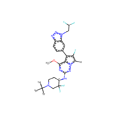 [2H]c1c(F)c(-c2ccc3nnn(CC(F)F)c3c2)c2c(OC)nc(N[C@@H]3CCN(C([2H])([2H])[2H])CC3(F)F)nn12